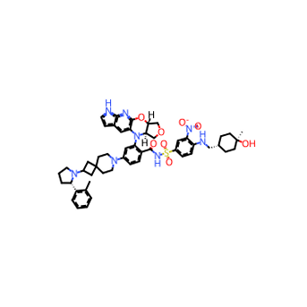 Cc1ccccc1[C@@H]1CCCN1C1CC2(CCN(c3ccc(C(=O)NS(=O)(=O)c4ccc(NC[C@H]5CC[C@](C)(O)CC5)c([N+](=O)[O-])c4)c(N4c5cc6cc[nH]c6nc5O[C@@H]5COC[C@H]54)c3)CC2)C1